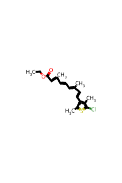 CCOC(=O)/C=C(\C)C=CC=C(C)C=Cc1c(C)sc(Cl)c1C